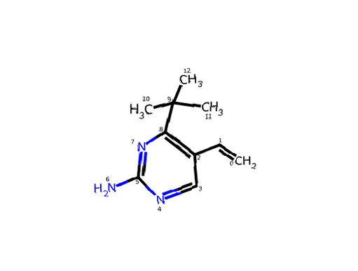 C=Cc1cnc(N)nc1C(C)(C)C